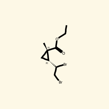 CCOC(=O)[C@@]1(C)C[C@H]1C(Br)CBr